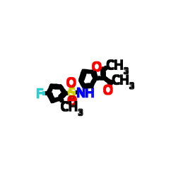 CC(=O)c1c(C)oc2ccc(NS(=O)(=O)c3ccc(F)cc3C)cc12